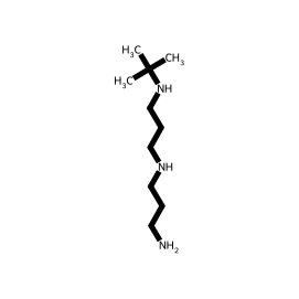 CC(C)(C)NCCCNCCCN